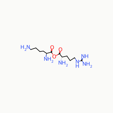 N=C(N)NCCC[C@H](N)C(=O)OC(=O)[C@@H](N)CCCCN